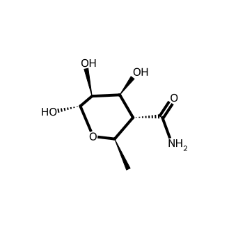 C[C@H]1O[C@H](O)[C@@H](O)[C@@H](O)[C@@H]1C(N)=O